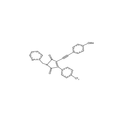 COc1ccc(C#CC2=C(c3ccc(C(F)(F)F)cc3)C(=O)N(Cc3ccccn3)C2=O)cc1